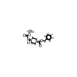 CC(C)(C)OC(=O)NN1CCN(C(=O)OCc2ccccc2)CC1